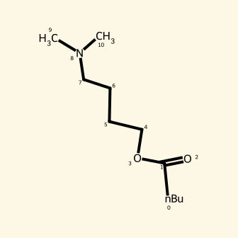 CCCCC(=O)OCCCCN(C)C